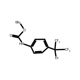 [CH2]CC(c1ccc(NC(=O)OC(C)(C)C)cc1)(C(F)(F)F)C(F)(F)F